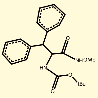 CONC(=O)C(NC(=O)OC(C)(C)C)C(c1ccccc1)c1ccccc1